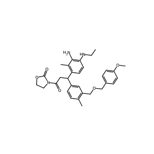 CCNc1ccc(C(CC(=O)N2CCOC2=O)c2ccc(C)c(COCc3ccc(OC)cc3)c2)c(C)c1N